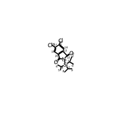 CC(C)[Si](C(C)C)(C(C)C)N1C(=O)c2cc(Cl)c(Cl)cc2C1=O